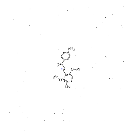 CC(C)Oc1ccc(C(C)(C)C)c(OC(C)C)c1/C=C/C(=O)c1ccc(N)cc1